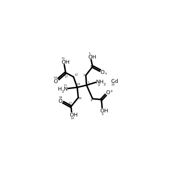 NC(CC(=O)O)(CC(=O)O)C(N)(CC(=O)O)CC(=O)O.[Gd]